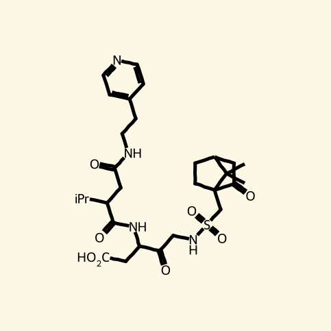 CC(C)C(CC(=O)NCCc1ccncc1)C(=O)NC(CC(=O)O)C(=O)CNS(=O)(=O)CC12CCC(CC1=O)C2(C)C